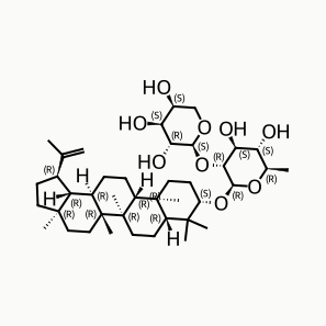 C=C(C)[C@@H]1CC[C@]2(C)CC[C@]3(C)[C@H](CC[C@@H]4[C@@]5(C)CC[C@H](O[C@@H]6O[C@H](C)[C@@H](O)[C@H](O)[C@H]6O[C@@H]6OC[C@H](O)[C@H](O)[C@H]6O)C(C)(C)[C@@H]5CC[C@]43C)[C@@H]12